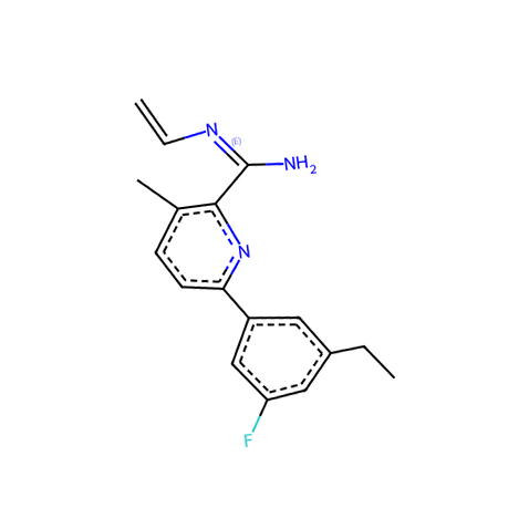 C=C/N=C(/N)c1nc(-c2cc(F)cc(CC)c2)ccc1C